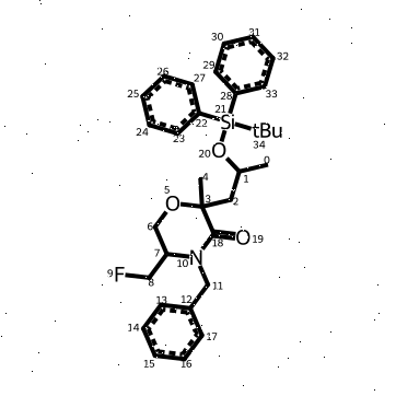 CC(CC1(C)OCC(CF)N(Cc2ccccc2)C1=O)O[Si](c1ccccc1)(c1ccccc1)C(C)(C)C